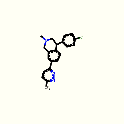 CN1Cc2cc(-c3ccc(C(F)(F)F)nn3)ccc2C(c2ccc(Cl)cc2)C1